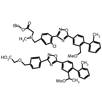 COC(C)c1cc(-c2nc(-c3ccc(COCC(=O)O)cc3)no2)ccc1-c1ccccc1C.COCc1cc(-c2nc(-c3ccc(CN(C)CC(=O)OC(C)(C)C)cc3Cl)no2)ccc1-c1ccccc1C